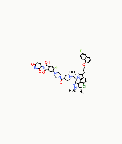 Cc1nn(C)c(C)c1-c1c(Cl)ccc2c(CCCOc3cccc4cc(F)ccc34)c(C(=O)O)n(CCN3CCC(C(=O)N4CCN(c5cc6c(cc5F)C(O)N(C5CCC(=O)NC5=O)C6=O)CC4)CC3)c12